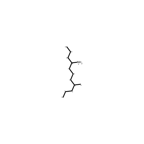 CCCC(C)CCCC(N)CCC